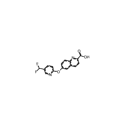 O=C(O)c1ccc2cc(Oc3ccc(C(F)F)cn3)ccc2n1